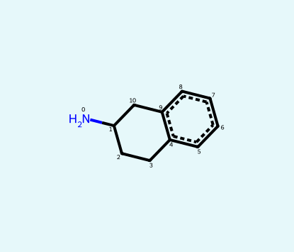 NC1CCc2ccccc2C1